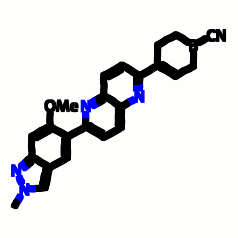 COc1cc2nn(C)cc2cc1-c1ccc2nc(C3=CCB(C#N)CC3)ccc2n1